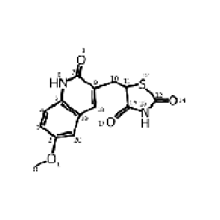 COc1ccc2[nH]c(=O)c(CC3SC(=O)NC3=O)cc2c1